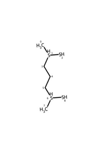 C[SH](S)CCC[SH](C)S